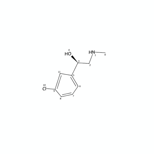 CNC[C@H](O)c1cccc(Cl)c1